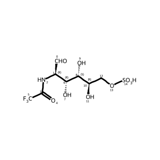 O=C[C@H](NC(=O)C(F)(F)F)[C@@H](O)[C@H](O)[C@H](O)COS(=O)(=O)O